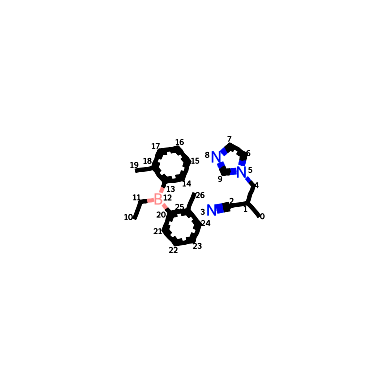 CC(C#N)Cn1ccnc1.CCB(c1ccccc1C)c1ccccc1C